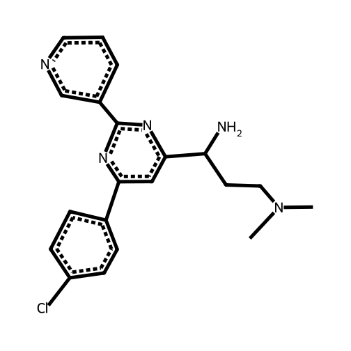 CN(C)CCC(N)c1cc(-c2ccc(Cl)cc2)nc(-c2cccnc2)n1